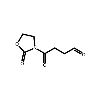 O=CCCC(=O)N1CCOC1=O